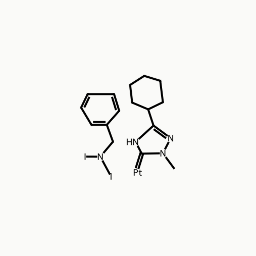 Cn1nc(C2CCCCC2)[nH][c]1=[Pt].IN(I)Cc1ccccc1